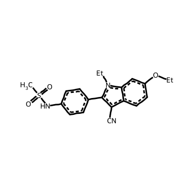 CCOc1ccc2c(C#N)c(-c3ccc(NS(C)(=O)=O)cc3)n(CC)c2c1